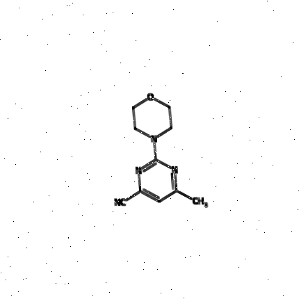 Cc1cc(C#N)nc(N2CCOCC2)n1